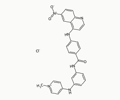 C[n+]1ccc(Nc2cccc(NC(=O)c3ccc(Nc4ccnc5ccc([N+](=O)[O-])cc45)cc3)c2)cc1.[Cl-]